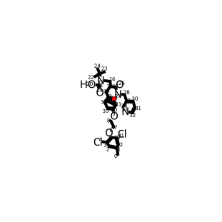 Cc1cc(Cl)c(OCCOc2ccc(CC(CN(C(=O)O)C(C)(C)C)C(=O)N(Cc3cccnc3)C3CC3)cc2)c(Cl)c1